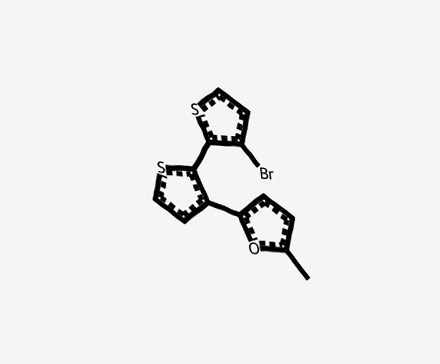 Cc1ccc(-c2ccsc2-c2sccc2Br)o1